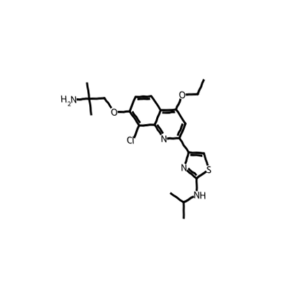 CCOc1cc(-c2csc(NC(C)C)n2)nc2c(Cl)c(OCC(C)(C)N)ccc12